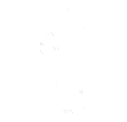 CNC(=O)c1cc(Oc2ccc(-c3nnc(Nc4ccc(Cl)c(CF)c4)[nH]3)cc2)ccn1